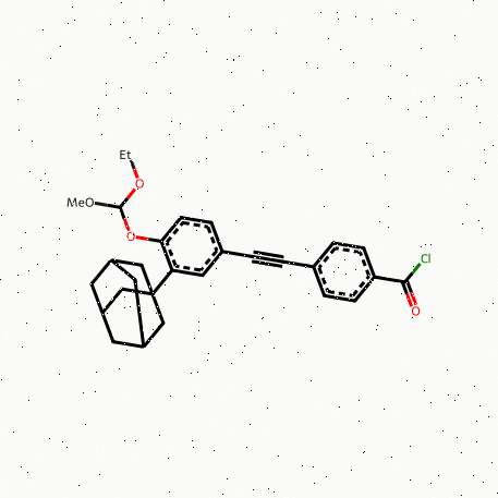 CCOC(OC)Oc1ccc(C#Cc2ccc(C(=O)Cl)cc2)cc1C12CC3CC(CC(C3)C1)C2